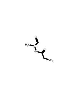 CCC(=O)N[N+](C)C=O